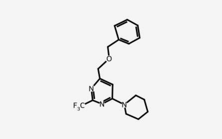 FC(F)(F)c1nc(COCc2ccccc2)cc(N2CCCCC2)n1